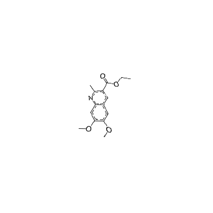 CCOC(=O)c1cc2cc(OC)c(OC)cc2nc1C